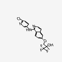 CC(O)(COc1ccc2c(Nc3ccc(Cl)nc3)nccc2c1)C(F)(F)F